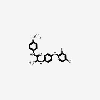 CC(Oc1ccc(Oc2ncc(Cl)cc2F)cc1)C(=O)Nc1ccc(OC(F)(F)F)cc1